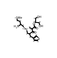 CSCCC(N)CSSCC(Cc1ccsc1)C(=O)C(C)C(=O)OC(CO)CO